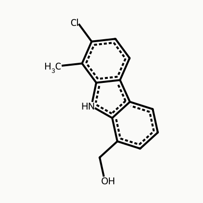 Cc1c(Cl)ccc2c1[nH]c1c(CO)cccc12